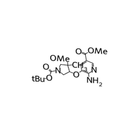 COC(=O)c1cnc(N)c(OC2CN(C(=O)OC(C)(C)C)CC2(C)OC)c1